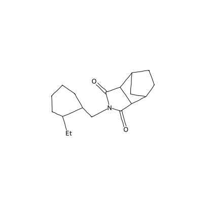 CCC1CCCCC1CN1C(=O)C2C3CCC(C3)C2C1=O